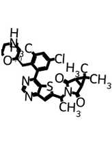 Cc1cc(Cl)cc(-c2ncnc3cc(C(C)N4C(=O)C5C(C4=O)C5(C)C)sc23)c1C[C@@H]1CNCCO1